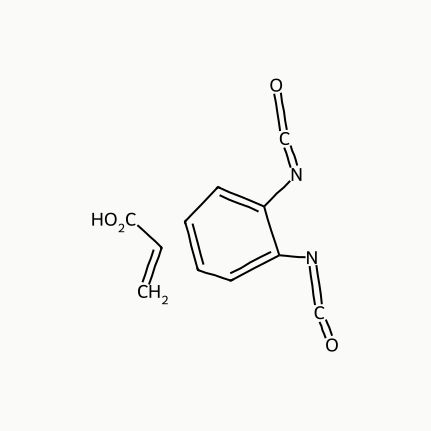 C=CC(=O)O.O=C=Nc1ccccc1N=C=O